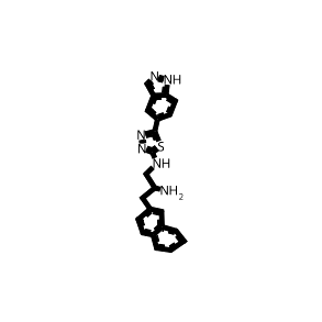 NC(CNc1nnc(-c2ccc3[nH]ncc3c2)s1)Cc1ccc2ccccc2c1